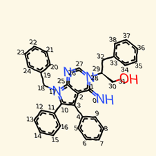 N=c1c2c(-c3ccccc3)c(-c3ccccc3)n(Cc3ccccc3)c2ncn1[C@H](CO)Cc1ccccc1